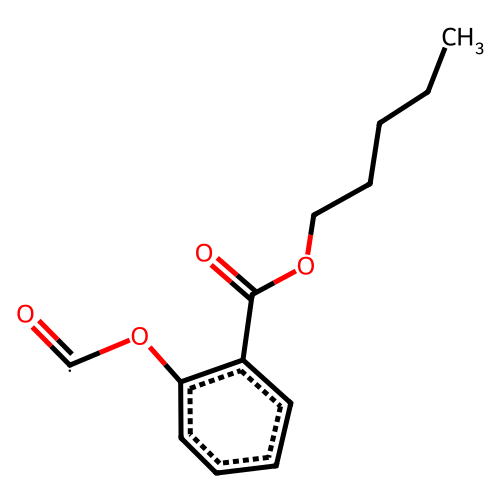 CCCCCOC(=O)c1ccccc1O[C]=O